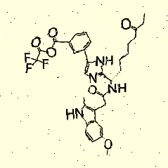 CCC(=O)CCCCC[C@H](NC(=O)Cc1c(C)[nH]c2ccc(OC)cc12)C1=[N+]C=C(c2cccc(C(=O)OC(=O)C(F)(F)F)c2)N1